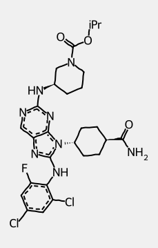 CC(C)OC(=O)N1CCC[C@@H](Nc2ncc3nc(Nc4c(F)cc(Cl)cc4Cl)n([C@H]4CC[C@H](C(N)=O)CC4)c3n2)C1